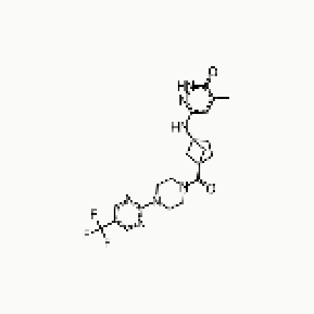 Cc1cc(N[C@]23CC[C@](C(=O)N4CCN(c5ncc(C(F)(F)F)cn5)CC4)(C2)C3)n[nH]c1=O